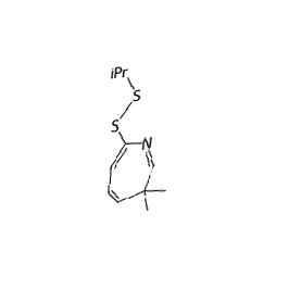 CC(C)SSC1=CC=CC(C)(C)C=N1